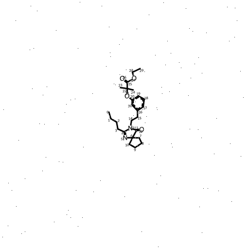 CCCCC1=NC2(CCCC2)C(=O)N1CCc1cccc(OC(C)(C)C(=O)OCC)c1